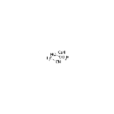 CC#N.O=C(O)O.[CsH]